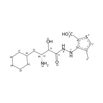 Cc1csc(C(=O)O)c1NNC(=O)C(O)[C@H](N)CC1CCCCC1